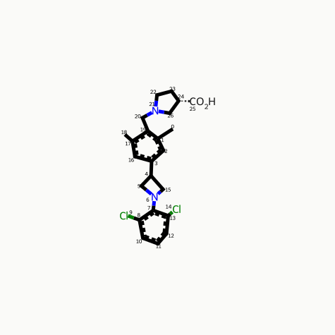 Cc1cc(C2CN(c3c(Cl)cccc3Cl)C2)cc(C)c1CN1CC[C@H](C(=O)O)C1